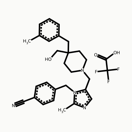 Cc1cccc(CC2(CO)CCN(Cc3cnc(C)n3Cc3ccc(C#N)cc3)CC2)c1.O=C(O)C(F)(F)F